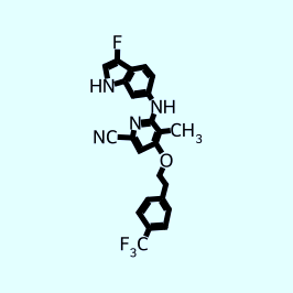 Cc1c(OCCc2ccc(C(F)(F)F)cc2)cc(C#N)nc1Nc1ccc2c(F)c[nH]c2c1